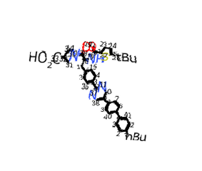 CCCCc1ccc(-c2ccc(-c3cnc(-c4ccc(C[C@H](NC(=O)c5ccc(C(C)(C)C)s5)C(=O)N5CC(C(=O)O)C5)cc4)nc3)cc2)cc1